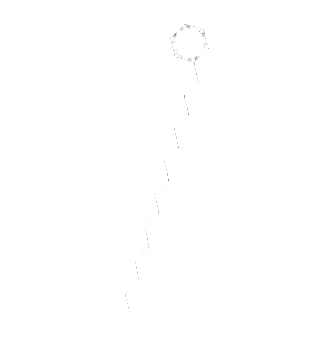 CCCCCCCCCCCC[CH]CCc1ccccc1